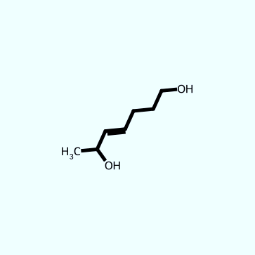 CC(O)/C=C/CCCO